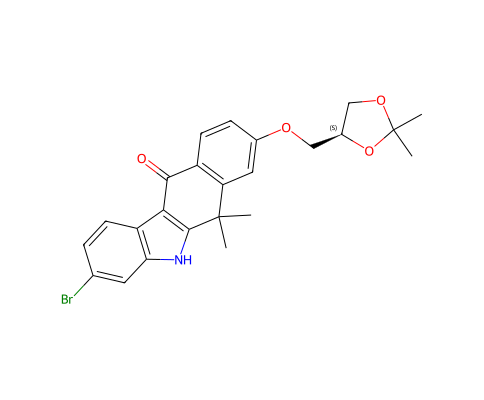 CC1(C)OC[C@H](COc2ccc3c(c2)C(C)(C)c2[nH]c4cc(Br)ccc4c2C3=O)O1